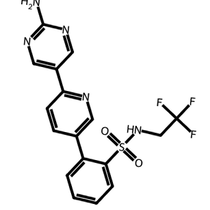 Nc1ncc(-c2ccc(-c3ccccc3S(=O)(=O)NCC(F)(F)F)cn2)cn1